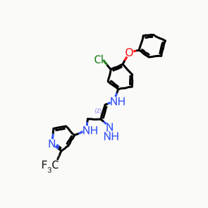 N=N/C(=C\Nc1ccc(Oc2ccccc2)c(Cl)c1)CNc1ccnc(C(F)(F)F)c1